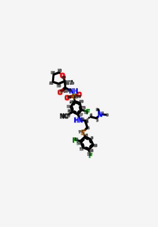 CN(C)CC[C@H](CSc1ccc(F)cc1F)Nc1c(F)cc(S(=O)(=O)NC(=O)[C@@]2(C)CCCCO2)cc1C#N